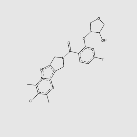 Cc1nc2c3c(nn2c(C)c1Cl)CN(C(=O)c1ccc(F)cc1OC1COCC1O)C3